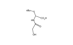 CCCCSC(NC(=O)CO)C(=O)O